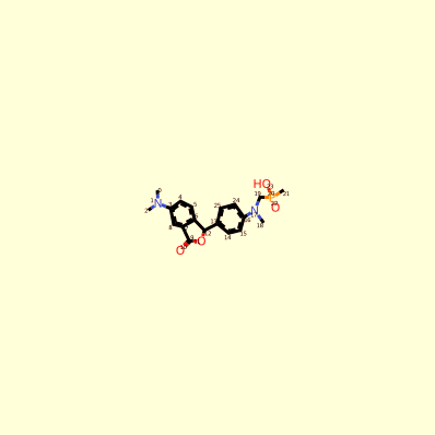 CN(C)c1ccc2c(c1)C(=O)OC2c1ccc(N(C)CP(C)(=O)O)cc1